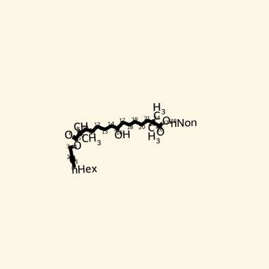 CCCCCCC#CCOC(=O)C(C)(C)CCCCCC(O)CCCCCC(C)(C)C(=O)OCCCCCCCCC